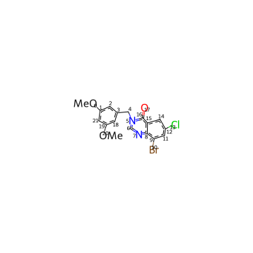 COc1cc(Cn2cnc3c(Br)cc(Cl)cc3c2=O)cc(OC)c1